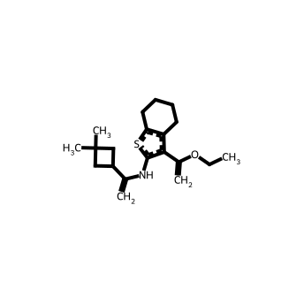 C=C(OCC)c1c(NC(=C)C2CC(C)(C)C2)sc2c1CCCC2